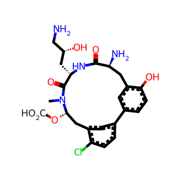 CN1C(=O)[C@H](C[C@@H](O)CN)NC(=O)[C@@H](N)Cc2cc(ccc2O)-c2ccc(Cl)c(c2)C[C@@H]1OC(=O)O